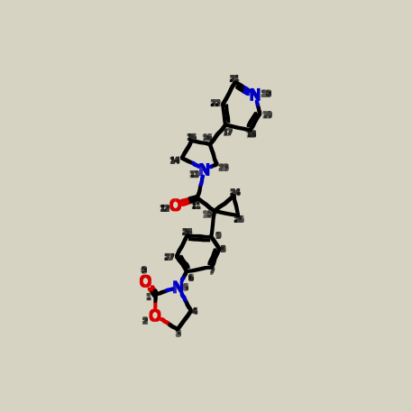 O=C1OCCN1c1ccc(C2(C(=O)N3CCC(c4ccncc4)C3)CC2)cc1